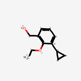 CCOc1c(CO)cccc1C1CC1